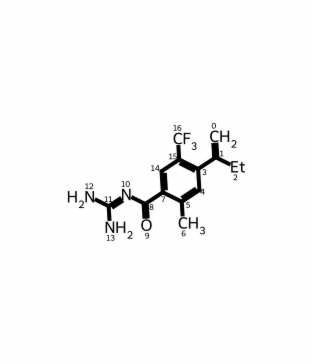 C=C(CC)c1cc(C)c(C(=O)N=C(N)N)cc1C(F)(F)F